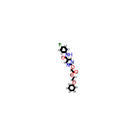 O=C(COc1ncc(C(=O)Nc2ccc(F)cc2)cn1)OCCOC1CCCCC1